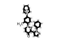 Cc1cc(N2CC3CCC(C2)O3)ccc1-n1ccc(=O)c(-c2ccnn2-c2ccccc2)n1